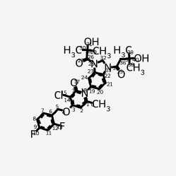 Cc1cc(OCc2ccc(F)cc2F)c(Cl)c(=O)n1-c1ccc2c(c1)N(C(=O)C(C)(C)O)CN2C(=O)CC(C)(C)O